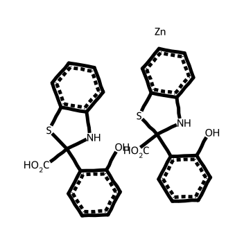 O=C(O)C1(c2ccccc2O)Nc2ccccc2S1.O=C(O)C1(c2ccccc2O)Nc2ccccc2S1.[Zn]